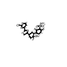 CC(C)(C)C1(F)C=CC(c2csc(-c3ccnc(Cl)n3)n2)=CC1c1ccc(F)c(S(N)(=O)=O)c1F